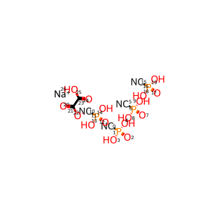 N#CP(=O)(O)O.N#CP(=O)(O)O.N#CP(=O)(O)O.N#CP(=O)(O)O.O=C([O-])C(=O)O.[Na+]